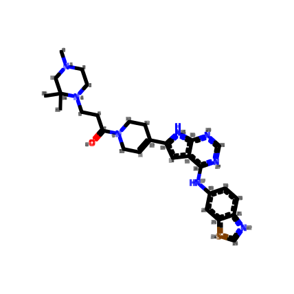 CN1CCN(CCC(=O)N2CC=C(c3cc4c(Nc5ccc6ncsc6c5)ncnc4[nH]3)CC2)C(C)(C)C1